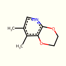 Cc1cnc2c(c1C)OCCO2